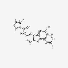 Cn1ncnc1C(=O)Nc1cnc2cc(-c3cc(F)ccc3C(F)F)[nH]c2c1